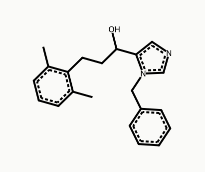 Cc1cccc(C)c1CCC(O)c1cncn1Cc1ccccc1